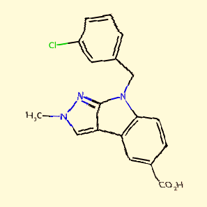 Cn1cc2c3cc(C(=O)O)ccc3n(Cc3cccc(Cl)c3)c2n1